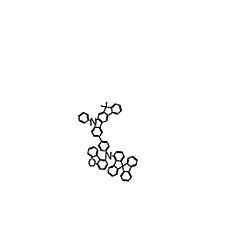 CC1(C)c2ccccc2-c2cc3c4cc(-c5ccc(N(c6cccc7c6-c6ccccc6C76c7ccccc7-c7ccccc76)c6cccc7oc8ccccc8c67)cc5)ccc4n(-c4ccccc4)c3cc21